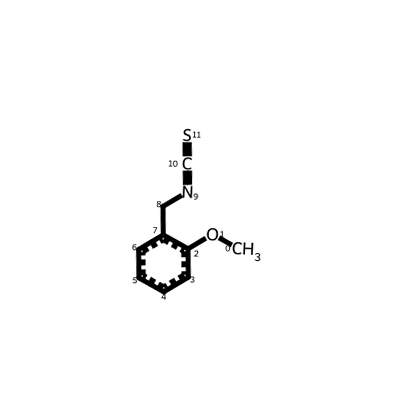 COc1ccccc1CN=C=S